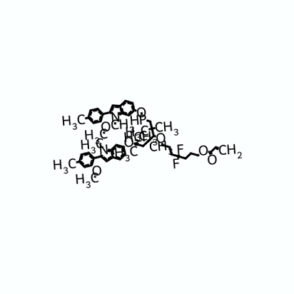 C=CC(=O)OCCCC(F)(F)CCCOC(C(C)(C)CPOc1ccc2cc(-c3ccc(C)cc3OC)n(C)c2c1)C(C)(C)CC(C)(C)Oc1ccc2cc(-c3ccc(C)cc3OC)n(C)c2c1